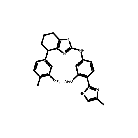 COc1cc(Nc2nc3c(s2)CCCC3c2ccc(C)c(C(F)(F)F)c2)ccc1-c1nc(C)c[nH]1